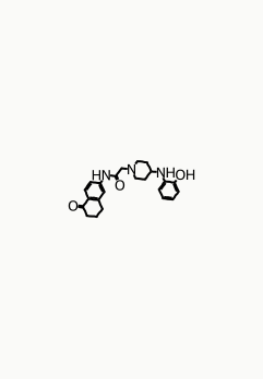 O=C(CN1CCC(Nc2ccccc2O)CC1)Nc1ccc2c(c1)CCCC2=O